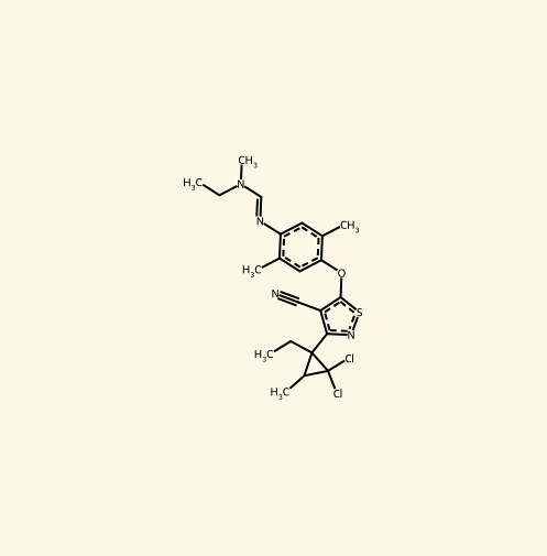 CCN(C)C=Nc1cc(C)c(Oc2snc(C3(CC)C(C)C3(Cl)Cl)c2C#N)cc1C